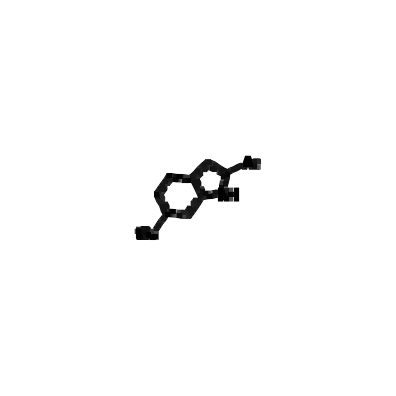 CC(=O)c1cc2ccc(C(C)(C)C)cc2[nH]1